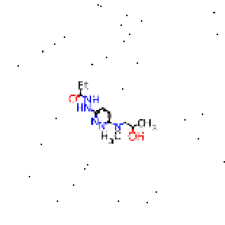 CCC(=O)NNc1ccc(N(C)CC(C)O)nn1